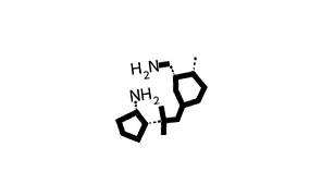 C[C@@H]1CCC(CC(C)(C)[C@@H]2CCC[C@@H]2N)C[C@@H]1CN